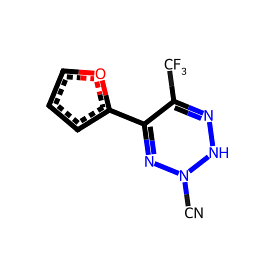 N#CN1N=C(c2ccco2)C(C(F)(F)F)=NN1